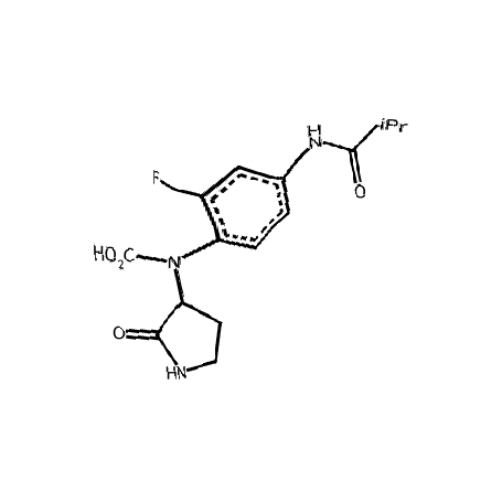 CC(C)C(=O)Nc1ccc(N(C(=O)O)C2CCNC2=O)c(F)c1